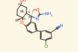 N#Cc1cc(Cl)cc(-c2ccc3c(c2)[C@@]2(COC(N)=N2)[C@@H]2C[C@H](O)CC[C@H]2O3)c1